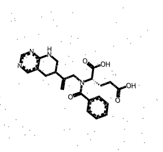 C=C(CN(C(=O)c1ccccc1)[C@@H](CCC(=O)O)C(=O)O)C1CNc2ncncc2C1